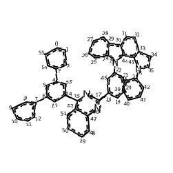 c1ccc(-c2cc(-c3ccccc3)cc(-c3nc(-c4cccc(-n5c6ccccc6c6ccc7ccn(-c8ccccc8)c7c65)c4)nc4ccccc34)c2)cc1